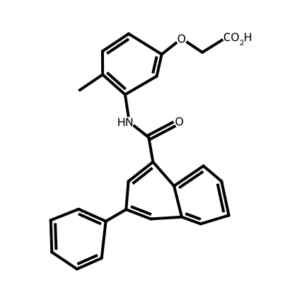 Cc1ccc(OCC(=O)O)cc1NC(=O)c1cc(-c2ccccc2)cc2ccccc12